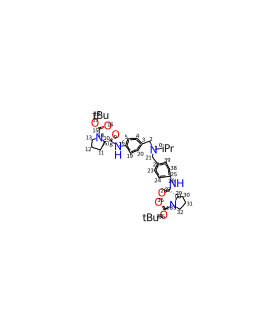 CC(C)N(Cc1ccc(NC(=O)[C@@H]2CCCN2C(=O)OC(C)(C)C)cc1)Cc1ccc(NC(=O)[C@@H]2CCCN2C(=O)OC(C)(C)C)cc1